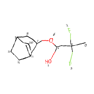 CC(F)(F)C(O)OC1CC2C=C1CC2